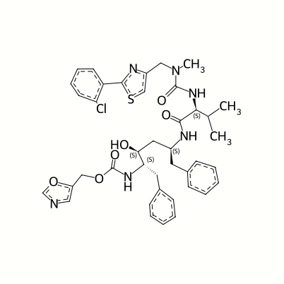 CC(C)[C@H](NC(=O)N(C)Cc1csc(-c2ccccc2Cl)n1)C(=O)N[C@@H](Cc1ccccc1)C[C@H](O)[C@H](Cc1ccccc1)NC(=O)OCc1cnco1